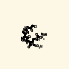 CO/N=C(\C(=O)NC1C(=O)N(S(=O)(=O)O)C1CNC(=O)C(F)(F)F)c1csc(NC(=O)CCl)n1.[NaH]